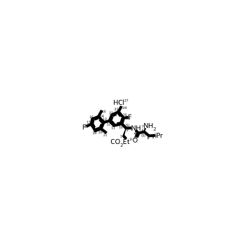 CCOC(=O)C[C@H](NC(=O)[C@@H](N)CC(C)C)c1cc(-c2c(C)cc(F)cc2C)cc(C)c1F.Cl